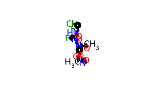 CC(=O)c1cn(CC(=O)N2C[C@H](F)C[C@H]2C(=O)NCc2cccc(Cl)c2F)c2ccc(OC(=O)N(C)c3cocn3)cc12